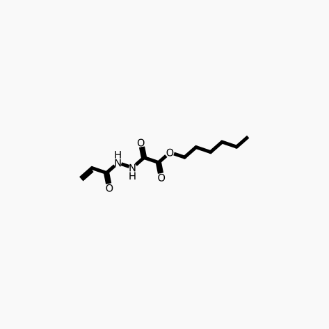 C=CC(=O)NNC(=O)C(=O)OCCCCCC